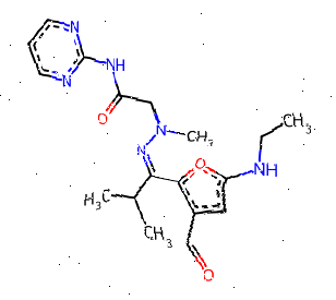 CCNc1cc(C=O)c(/C(=N\N(C)CC(=O)Nc2ncccn2)C(C)C)o1